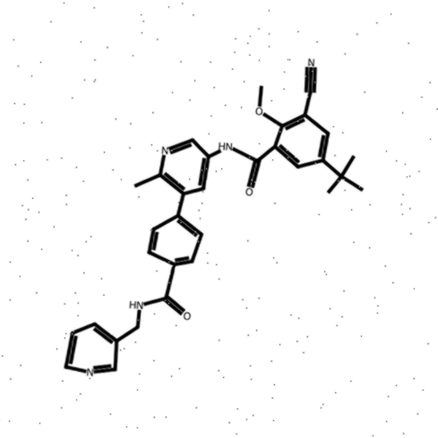 COc1c(C#N)cc(C(C)(C)C)cc1C(=O)Nc1cnc(C)c(-c2ccc(C(=O)NCc3cccnc3)cc2)c1